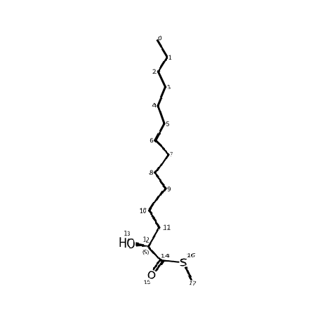 CCCCCCCCCCCC[C@H](O)C(=O)SC